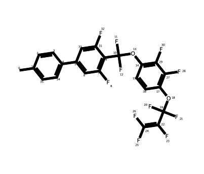 Cc1ccc(-c2cc(F)c(C(F)(F)Oc3ccc(OC(F)(F)C(F)=C(F)F)c(F)c3F)c(F)c2)cc1